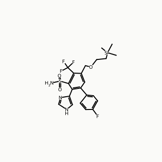 C[Si](C)(C)CCOCc1cc(-c2ccc(F)cc2)c(-c2c[nH]cn2)c(S(N)(=O)=O)c1C(F)(F)F